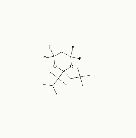 CC(C)C(C)(C)C1(CC(C)(C)C)OC(F)(F)CC(F)(F)O1